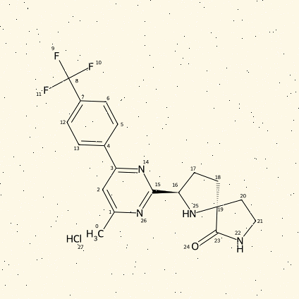 Cc1cc(-c2ccc(C(F)(F)F)cc2)nc([C@H]2CC[C@@]3(CCNC3=O)N2)n1.Cl